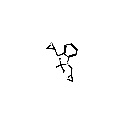 FC(F)(F)N(CC1CO1)c1ccccc1CC1CO1